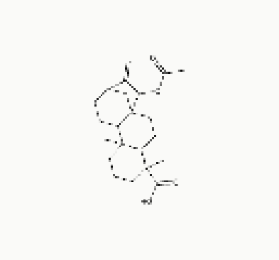 C=C1C2CCC3C4(C)CCCC(C)(C(=O)O)C4CCC3(C2)C1OC(C)=O